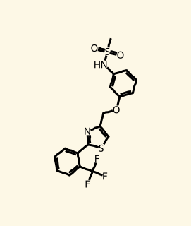 CS(=O)(=O)Nc1cccc(OCc2csc(-c3ccccc3C(F)(F)F)n2)c1